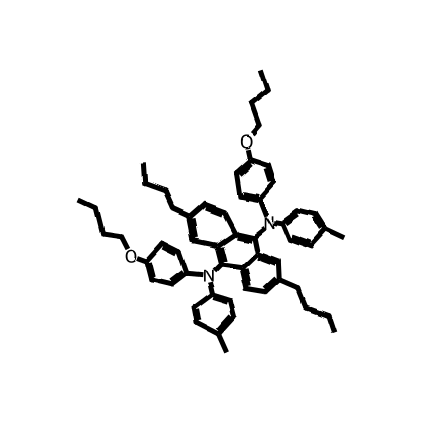 CCCCOc1ccc(N(c2ccc(C)cc2)c2c3ccc(CCCC)cc3c(N(c3ccc(C)cc3)c3ccc(OCCCC)cc3)c3ccc(CCCC)cc23)cc1